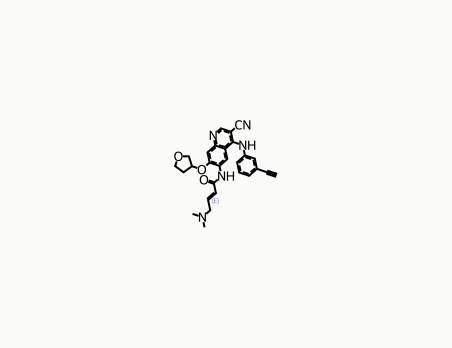 C#Cc1cccc(Nc2c(C#N)cnc3cc(OC4CCOC4)c(NC(=O)/C=C/CN(C)C)cc23)c1